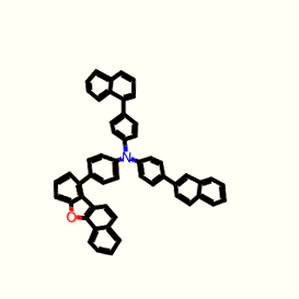 c1ccc2cc(-c3ccc(N(c4ccc(-c5cccc6ccccc56)cc4)c4ccc(-c5cccc6oc7c8ccccc8ccc7c56)cc4)cc3)ccc2c1